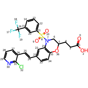 O=C(O)CCC1CN(S(=O)(=O)c2cccc(C(F)(F)F)c2)c2cc(C=Cc3cccnc3Cl)ccc2O1